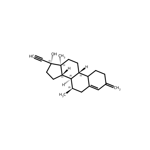 C#C[C@]1(O)CC[C@H]2[C@@H]3[C@H](C)CC4=CC(=C)CCC4[C@H]3CC[C@@]21C